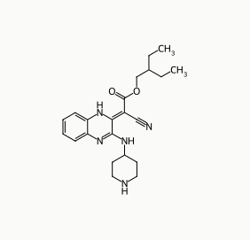 CCC(CC)COC(=O)C(C#N)=C1Nc2ccccc2N=C1NC1CCNCC1